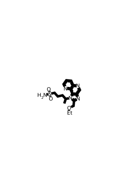 CCOCc1nc2cnc3cccnc3c2n1C(C)CCCS(N)(=O)=O